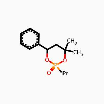 CC(C)P1(=O)OC(c2ccccc2)CC(C)(C)O1